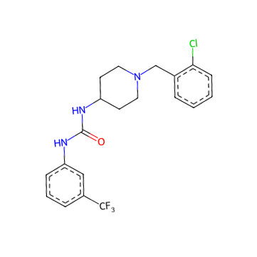 O=C(Nc1cccc(C(F)(F)F)c1)NC1CCN(Cc2ccccc2Cl)CC1